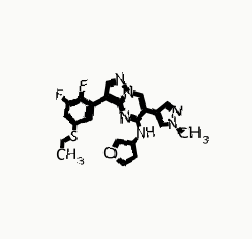 CCSc1cc(F)c(F)c(-c2cnn3cc(-c4cnn(C)c4)c(NC4CCOC4)nc23)c1